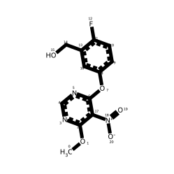 COc1ncnc(Oc2ccc(F)c(CO)c2)c1[N+](=O)[O-]